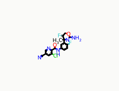 C[C@]1(c2cc(NC(=O)c3ncc(C#N)cc3Cl)ccc2F)N=C(N)OC[C@@H]1F